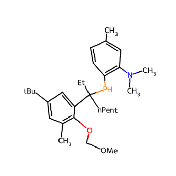 CCCCCC(CC)(Pc1ccc(C)cc1N(C)C)c1cc(C(C)(C)C)cc(C)c1OCOC